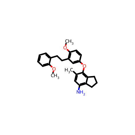 COc1ccccc1CCc1cc(Oc2c(C)cc(N)c3c2CCC3)ccc1OC